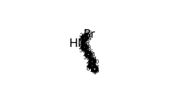 CC1(C)c2ccccc2-c2ccc(-c3ccc(-c4ccc(Nc5ccc(Br)cc5)cc4)cc3)cc21